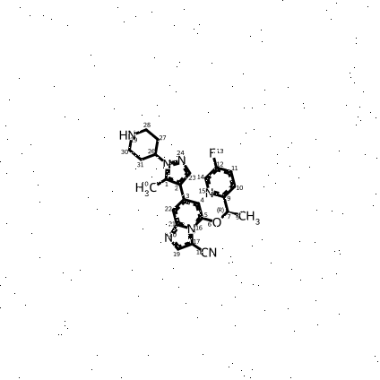 Cc1c(-c2cc(O[C@H](C)c3ccc(F)cn3)n3c(C#N)cnc3c2)cnn1C1CCNCC1